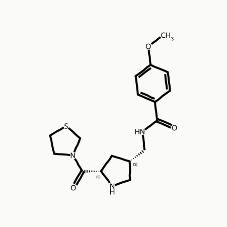 COc1ccc(C(=O)NC[C@@H]2CN[C@H](C(=O)N3CCSC3)C2)cc1